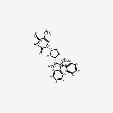 Cc1cn([C@@H]2CC[C@H](C(O)[Si](c3ccccc3)(c3ccccc3)C(C)(C)C)S2)c(=O)[nH]c1=O